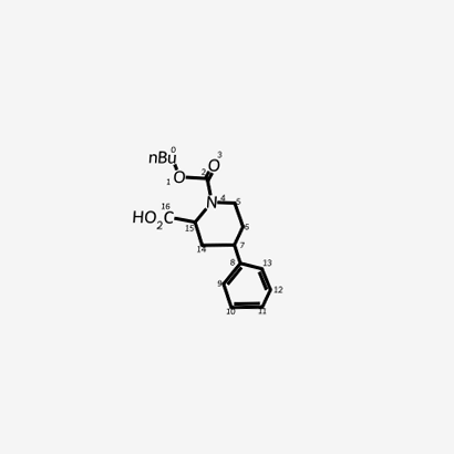 CCCCOC(=O)N1CCC(c2ccccc2)CC1C(=O)O